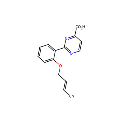 N#CC=CCOc1ccccc1-c1nccc(C(=O)O)n1